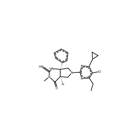 CCc1nc(N2C[C@H]3C(=O)N(C)C(=N)N[C@@]3(c3ccccc3)C2)nc(C2CC2)c1Cl